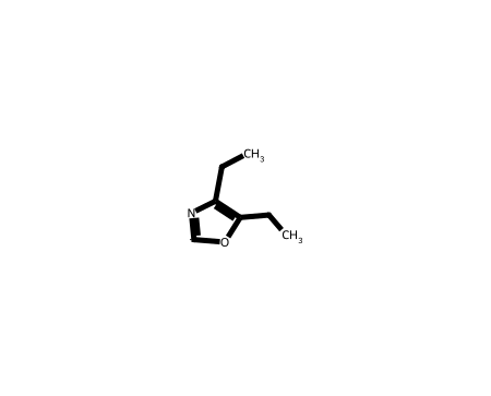 CCc1n[c]oc1CC